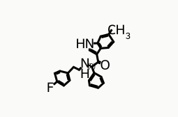 Cc1ccc2c(C(=O)[C@H](NCCc3ccc(F)cc3)c3ccccc3)c[nH]c2c1